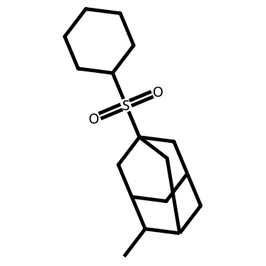 CC1C2CC3CC1CC(S(=O)(=O)C1CCCCC1)(C3)C2